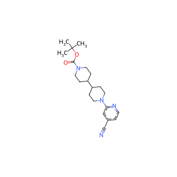 CC(C)(C)OC(=O)N1CCC(C2CCN(c3cc(C#N)ccn3)CC2)CC1